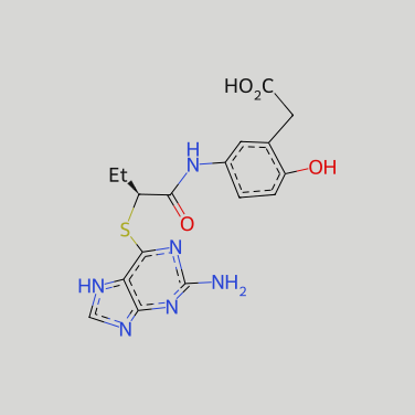 CC[C@H](Sc1nc(N)nc2nc[nH]c12)C(=O)Nc1ccc(O)c(CC(=O)O)c1